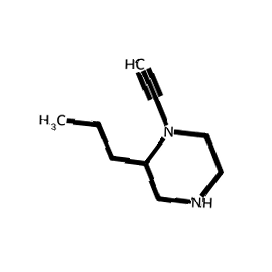 C#CN1CCNCC1CCC